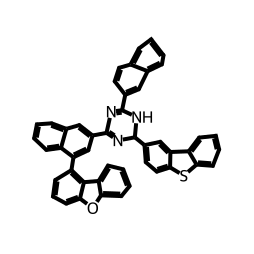 c1ccc2cc(C3=NC(c4cc(-c5cccc6oc7ccccc7c56)c5ccccc5c4)=NC(c4ccc5sc6ccccc6c5c4)N3)ccc2c1